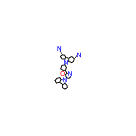 N#Cc1ccc2c(c1)c1cc(C#N)ccc1n2-c1ccc2oc3c(-n4c5ccccc5c5ccccc54)ccnc3c2c1